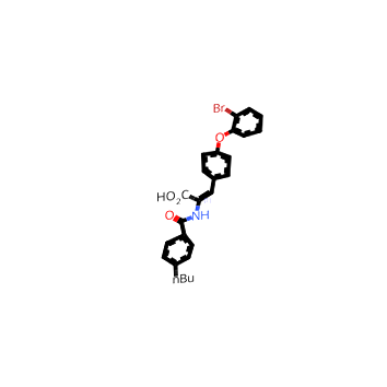 CCCCc1ccc(C(=O)N/C(=C/c2ccc(Oc3ccccc3Br)cc2)C(=O)O)cc1